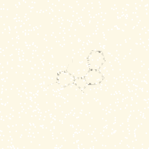 Cc1cc(Cl)cc2[nH]c3ccc4ccccc4c3c12